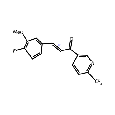 COc1cc(/C=C/C(=O)c2ccc(C(F)(F)F)nc2)ccc1F